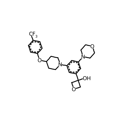 OC1(c2cc(N3CCOCC3)cc(N3CCC(Oc4ccc(C(F)(F)F)cc4)CC3)c2)COC1